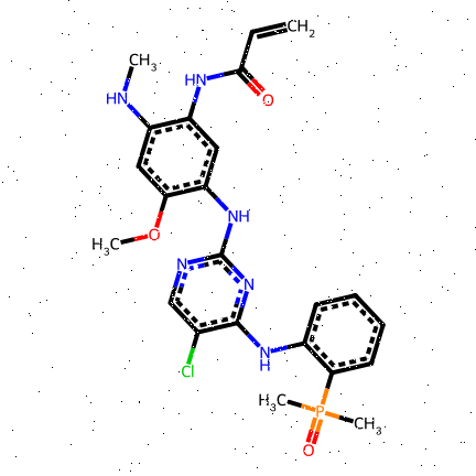 C=CC(=O)Nc1cc(Nc2ncc(Cl)c(Nc3ccccc3P(C)(C)=O)n2)c(OC)cc1NC